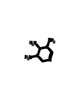 NC1N(N)C=NCN1N